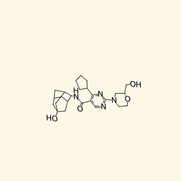 O=C(NC1C2CC3CC1CC(O)(C3)C2)c1cnc(N2CCOC(CO)C2)nc1C1CCCC1